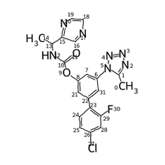 Cc1nnnn1-c1cc(OC(=O)NC(C)c2cnccn2)cc(-c2ccc(Cl)cc2F)c1